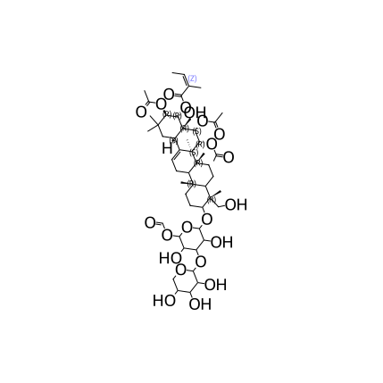 C/C=C(/C)C(=O)O[C@H]1[C@H](OC(C)=O)C(C)(C)C[C@H]2C3=CCC4[C@@]5(C)CCC(OC6OC(OC=O)C(O)C(OC7OCC(O)C(O)C7O)C6O)[C@@](C)(CO)C5CC[C@@]4(C)[C@]3(C)[C@@H](OC(C)=O)[C@@H](OC(C)=O)[C@]21CO